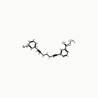 COC(=O)c1cccc(C#CCCCC#Cc2cccc(Br)c2)c1